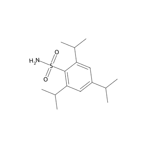 CC(C)c1cc(C(C)C)c(S(N)(=O)=O)c(C(C)C)c1